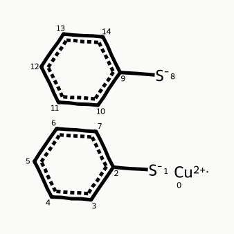 [Cu+2].[S-]c1ccccc1.[S-]c1ccccc1